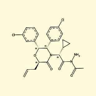 C=CC[C@H]1O[C@H](c2cccc(Cl)c2)[C@H](c2ccc(Cl)cc2)N([C@@H](C(=O)N(N)C(C)=O)C2CC2)C1=O